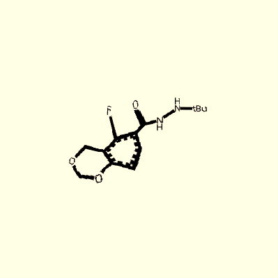 CC(C)(C)NNC(=O)c1ccc2c(c1F)COCO2